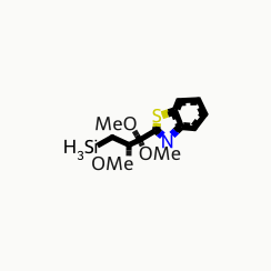 COC(C[SiH3])C(OC)(OC)c1nc2ccccc2s1